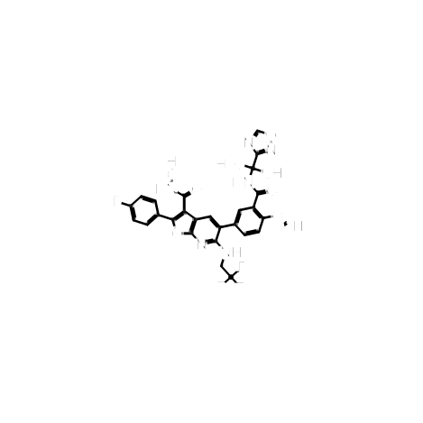 CNC(=O)c1c(-c2ccc(F)cc2)oc2nc(NCC(F)(F)F)c(-c3ccc(OC)c(C(=O)NC(C)(C)c4ncon4)c3)cc12